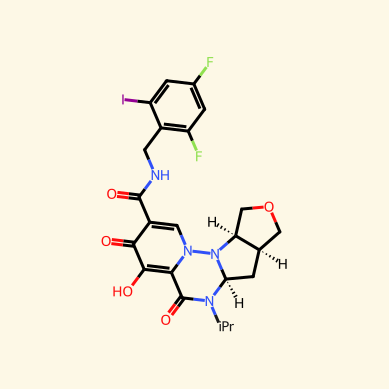 CC(C)N1C(=O)c2c(O)c(=O)c(C(=O)NCc3c(F)cc(F)cc3I)cn2N2[C@H]3COC[C@H]3C[C@@H]12